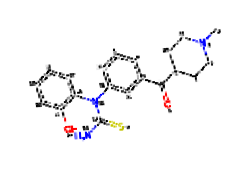 CN1CCC(C(=O)c2cccc(N(C(N)=S)c3ccccc3O)c2)CC1